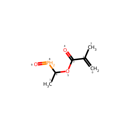 C=C(C)C(=O)OC(C)[PH2]=O